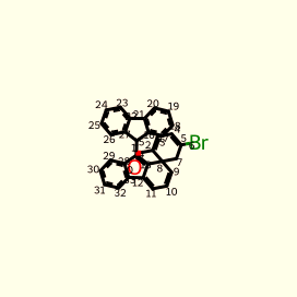 O=CC1=CC=C(Br)CC12C=CC=C1C2=C(C2c3ccccc3-c3ccccc32)c2ccccc21